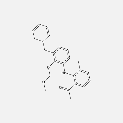 COCOc1c(CC2C=CC=CC2)cccc1Pc1c(C)cccc1C(C)=O